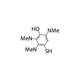 CNc1cc(S)c(NC)c(NC)c1O